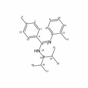 Cc1ccc(/C(=N\c2ccccc2C)NP(C(C)C)C(C)C)cc1